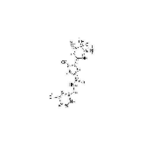 CC1(C)C(=N)NC(c2sc(C(=O)NCc3cc(Cl)ccn3)cc2Cl)C[S+]1[O-]